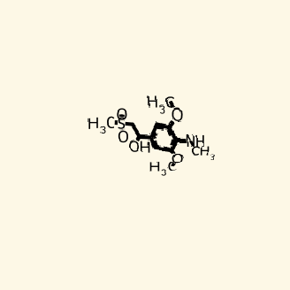 CNc1c(OC)cc(C(O)CS(C)(=O)=O)cc1OC